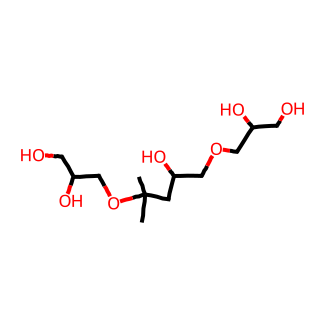 CC(C)(CC(O)COCC(O)CO)OCC(O)CO